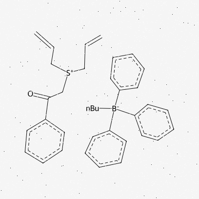 C=CC[S+](CC=C)CC(=O)c1ccccc1.CCCC[B-](c1ccccc1)(c1ccccc1)c1ccccc1